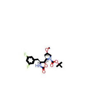 CO[C@@H]1C[C@@H]([C@H]2OC(=O)N[C@H]2Cc2cc(F)cc(F)c2)N(C(=O)OC(C)(C)C)C1